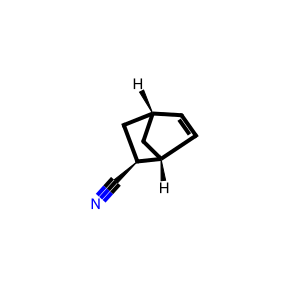 N#C[C@H]1C[C@@H]2C=C[C@H]1C2